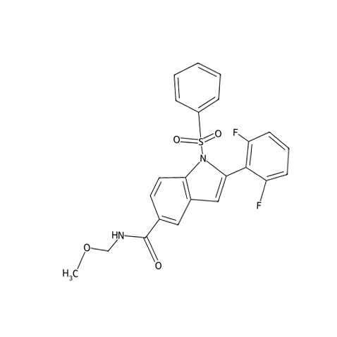 COCNC(=O)c1ccc2c(c1)cc(-c1c(F)cccc1F)n2S(=O)(=O)c1ccccc1